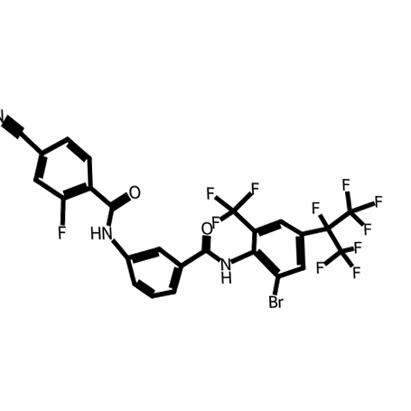 N#Cc1ccc(C(=O)Nc2cccc(C(=O)Nc3c(Br)cc(C(F)(C(F)(F)F)C(F)(F)F)cc3C(F)(F)F)c2)c(F)c1